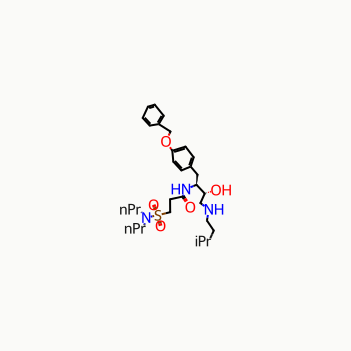 CCCN(CCC)S(=O)(=O)CCC(=O)N[C@@H](Cc1ccc(OCc2ccccc2)cc1)[C@H](O)CNCCC(C)C